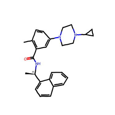 Cc1ccc(N2CCN(C3CC3)CC2)cc1C(=O)N[C@H](C)c1cccc2ccccc12